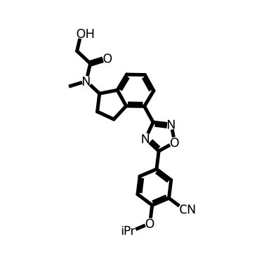 CC(C)Oc1ccc(-c2nc(-c3cccc4c3CCC4N(C)C(=O)CO)no2)cc1C#N